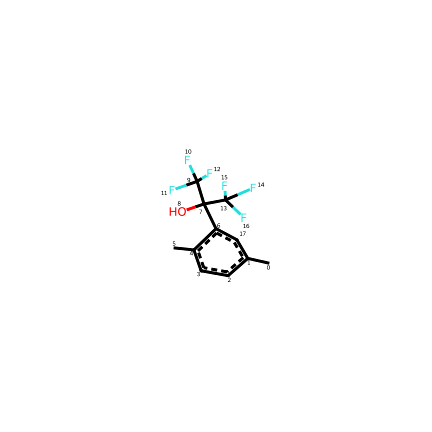 Cc1ccc(C)c(C(O)(C(F)(F)F)C(F)(F)F)c1